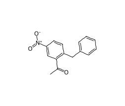 CC(=O)c1cc([N+](=O)[O-])ccc1Cc1ccccc1